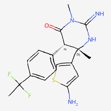 CN1C(=N)N[C@](C)(c2csc(N)c2)[C@H](c2ccc(C(C)(F)F)cc2)C1=O